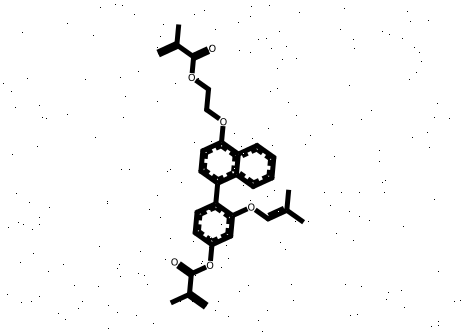 C=C(C)C(=O)OCCOc1ccc(-c2ccc(OC(=O)C(=C)C)cc2OC=C(C)C)c2ccccc12